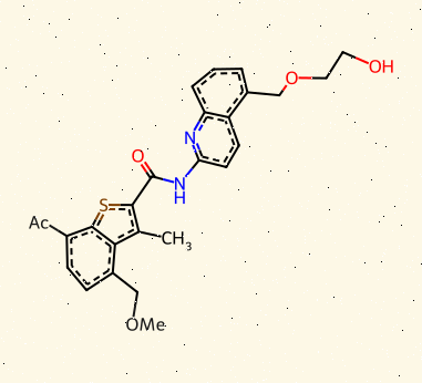 COCc1ccc(C(C)=O)c2sc(C(=O)Nc3ccc4c(COCCO)cccc4n3)c(C)c12